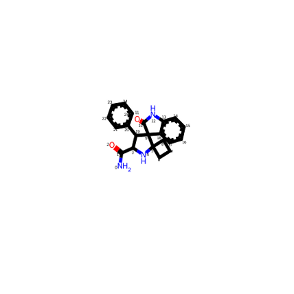 NC(=O)C1NC2(CCC2)C2(C(=O)Nc3ccccc32)C1c1ccccc1